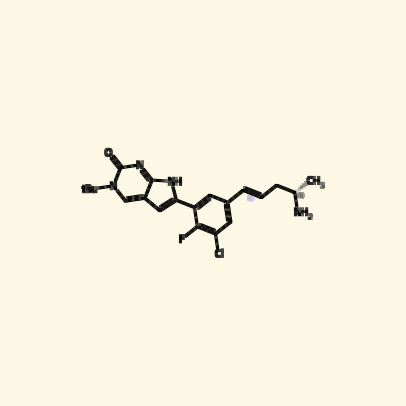 C[C@H](N)C/C=C/c1cc(Cl)c(F)c(-c2cc3cn(C(C)(C)C)c(=O)nc3[nH]2)c1